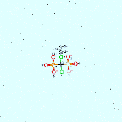 O=P([O-])([O-])C(Cl)(Cl)P(=O)([O-])[O-].[Sr+2].[Sr+2]